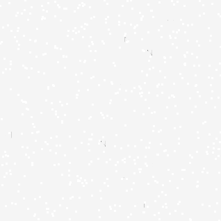 O=C(O)Cn1cc(-c2cnn(C3CCCCO3)c2)c2ccc(Cl)c(Cl)c21